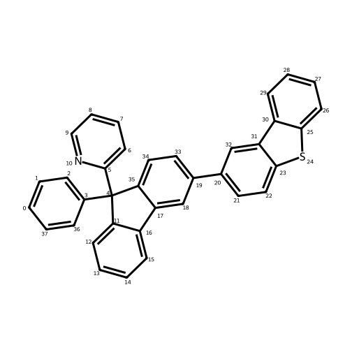 c1ccc(C2(c3ccccn3)c3ccccc3-c3cc(-c4ccc5sc6ccccc6c5c4)ccc32)cc1